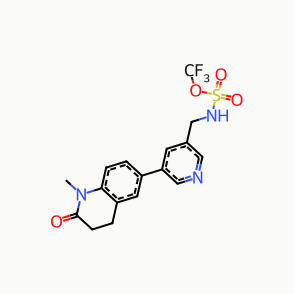 CN1C(=O)CCc2cc(-c3cncc(CNS(=O)(=O)OC(F)(F)F)c3)ccc21